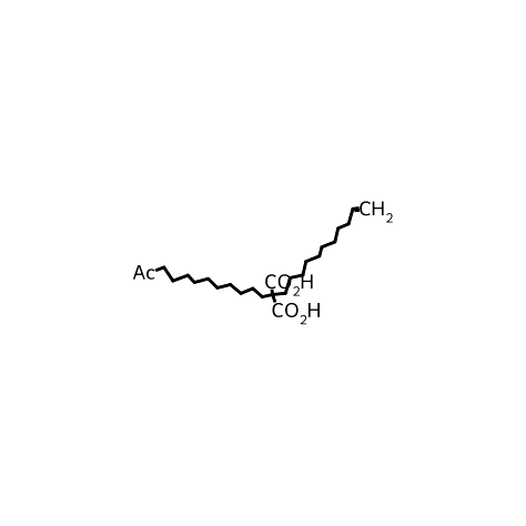 C=CCCCCCCCCCC(CCCCCCCCCCC(C)=O)(C(=O)O)C(=O)O